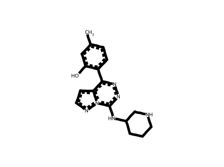 Cc1ccc(-c2nnc(NC3CCCNC3)n3nccc23)c(O)c1